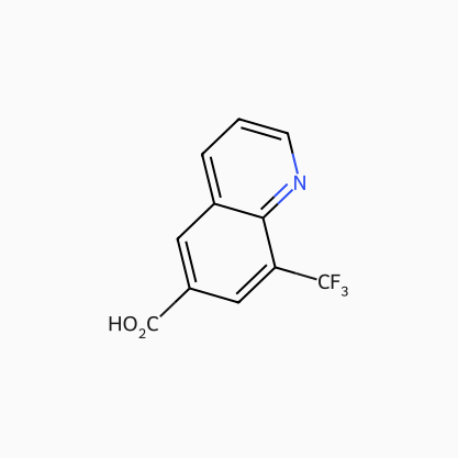 O=C(O)c1cc(C(F)(F)F)c2ncccc2c1